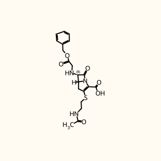 CC(=O)NCCSC1=C(C(=O)O)N2C(=O)[C@H](NCC(=O)OCc3ccccc3)[C@H]2C1